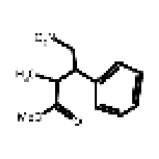 COC(=O)C(C)C(C[N+](=O)[O-])c1ccccc1